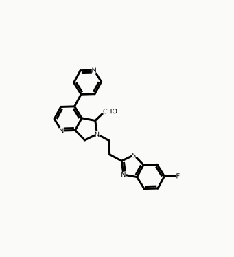 O=CC1c2c(-c3ccncc3)ccnc2CN1CCc1nc2ccc(F)cc2s1